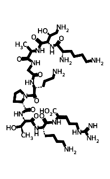 CC(NC(=O)[C@@H](NC(=O)[C@@H](N)CCCCN)[C@@H](O)CN)C(=O)NCC(=O)N[C@H](CCCN)C(=O)N1CCC[C@H]1C(=O)N[C@H](C(=O)N[C@@H](CCCCN)C(=O)N/C(=C\CCNC(=N)N)C(=O)O)[C@@H](C)O